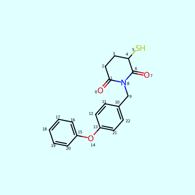 O=C1CCC(S)C(=O)N1Cc1ccc(Oc2ccccc2)cc1